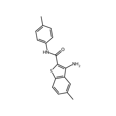 Cc1ccc(NC(=O)c2sc3ccc(C)cc3c2N)cc1